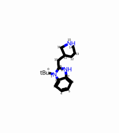 CC(C)(C)N1c2ccccc2NC1CC1CCCNC1